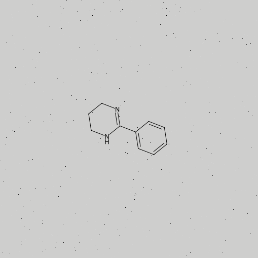 [c]1ccc(C2=NCCCN2)cc1